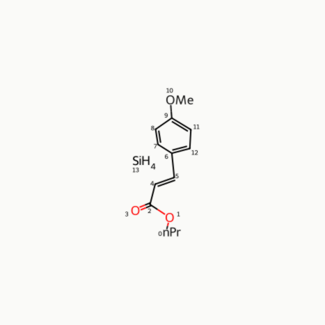 CCCOC(=O)C=Cc1ccc(OC)cc1.[SiH4]